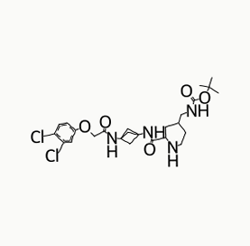 CC(C)(C)OC(=O)NCC1CCNC(C(=O)NC23CC(NC(=O)COc4ccc(Cl)c(Cl)c4)(C2)C3)C1